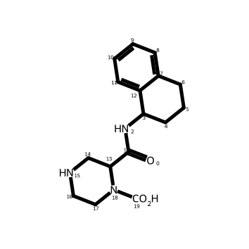 O=C(NC1CCCc2ccccc21)C1CNCCN1C(=O)O